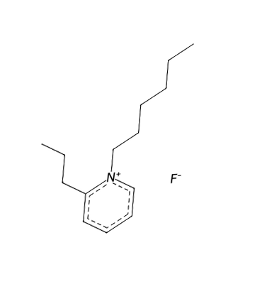 CCCCCC[n+]1ccccc1CCC.[F-]